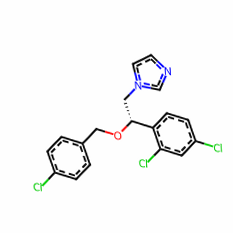 Clc1ccc(CO[C@H](Cn2ccnc2)c2ccc(Cl)cc2Cl)cc1